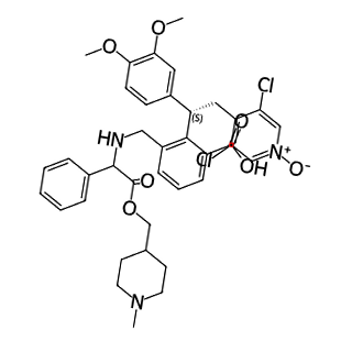 COc1ccc([C@H](Cc2c(Cl)c[n+]([O-])cc2Cl)c2c(CNC(C(=O)OCC3CCN(C)CC3)c3ccccc3)cccc2C(=O)O)cc1OC